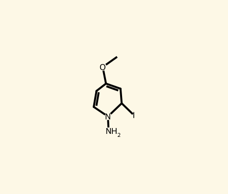 COC1=CC(I)N(N)C=C1